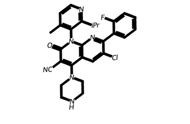 Cc1ccnc(C(C)C)c1-n1c(=O)c(C#N)c(N2CCNCC2)c2cc(Cl)c(-c3ccccc3F)nc21